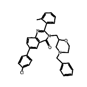 Cc1ccccc1-c1nc2ccc(-c3ccc(Cl)cc3)cc2c(=O)n1CC1CN(Cc2ccccc2)CCO1